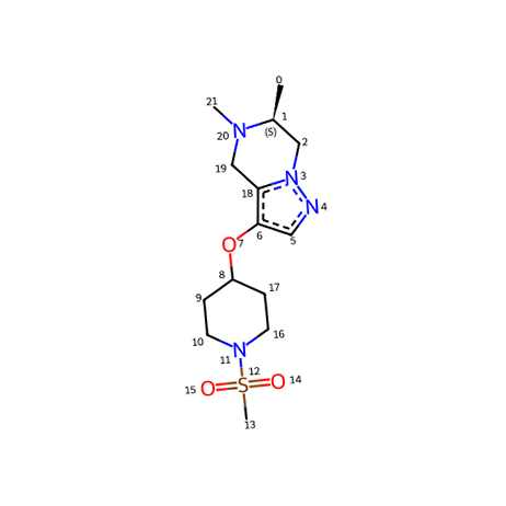 C[C@H]1Cn2ncc(OC3CCN(S(C)(=O)=O)CC3)c2CN1C